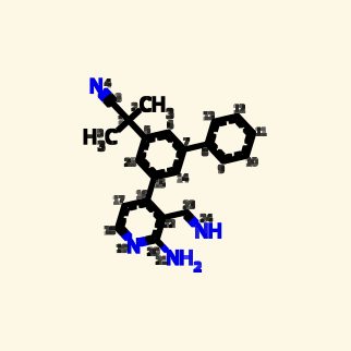 CC(C)(C#N)c1cc(-c2ccccc2)cc(-c2ccnc(N)c2C=N)c1